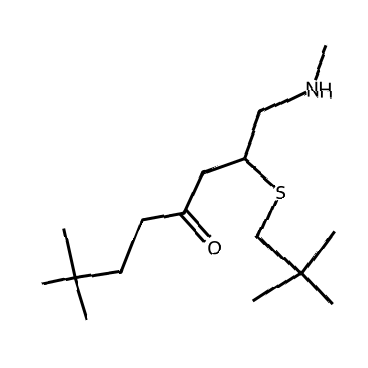 CNCC(CC(=O)CCC(C)(C)C)SCC(C)(C)C